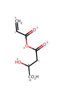 C=CC(=O)OC(=O)CC(O)C(=O)O